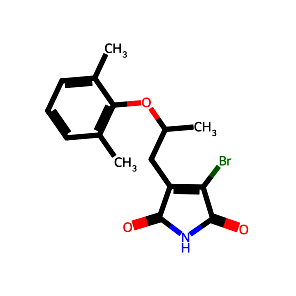 Cc1cccc(C)c1OC(C)CC1=C(Br)C(=O)NC1=O